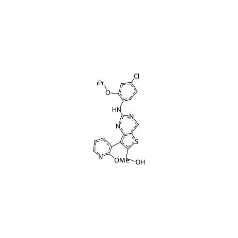 COc1ncccc1-c1c(CO)sc2cnc(Nc3ccc(Cl)cc3OC(C)C)nc12